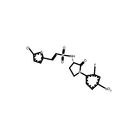 O=C1[C@@H](NS(=O)(=O)C=Cc2ccc(Cl)s2)CCN1c1ccc([N+](=O)[O-])cc1F